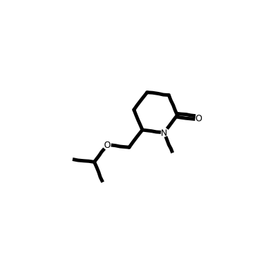 CC(C)OCC1CCCC(=O)N1C